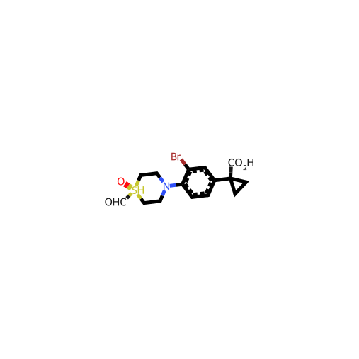 O=C[SH]1(=O)CCN(c2ccc(C3(C(=O)O)CC3)cc2Br)CC1